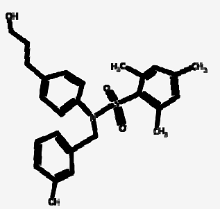 Cc1cc(C)c(S(=O)(=O)N(Cc2cccc(O)c2)c2ccc(CCCO)cc2)c(C)c1